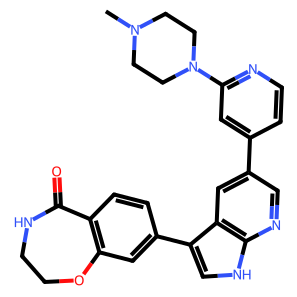 CN1CCN(c2cc(-c3cnc4[nH]cc(-c5ccc6c(c5)OCCNC6=O)c4c3)ccn2)CC1